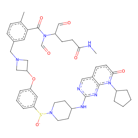 CNC(=O)CCC(C=O)N(C=O)C(=O)c1cc(CN2CC(Oc3cccc([S+]([O-])N4CCC(Nc5ncc6ccc(=O)n(C7CCCC7)c6n5)CC4)c3)C2)ccc1C